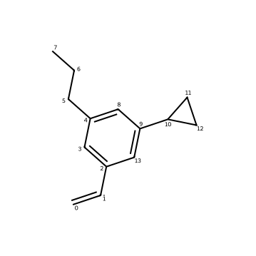 C=[C]c1cc(CCC)cc(C2CC2)c1